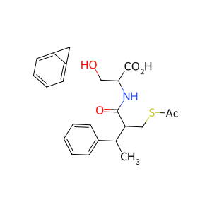 CC(=O)SCC(C(=O)NC(CO)C(=O)O)C(C)c1ccccc1.c1ccc2c(c1)C2